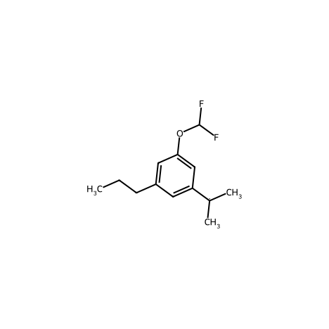 CCCc1cc(OC(F)F)cc([C](C)C)c1